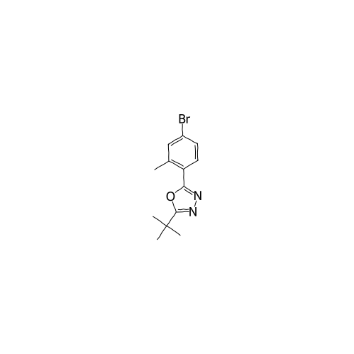 Cc1cc(Br)ccc1-c1nnc(C(C)(C)C)o1